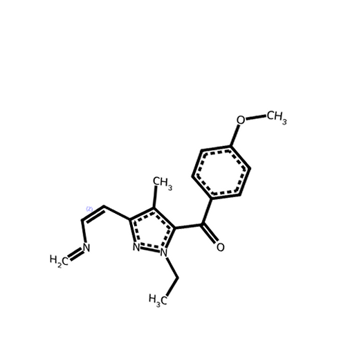 C=N/C=C\c1nn(CC)c(C(=O)c2ccc(OC)cc2)c1C